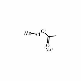 CC(=O)[O-].[Cl][Mn].[Na+]